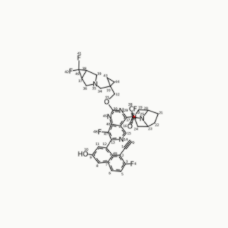 C#Cc1c(F)ccc2cc(O)cc(-c3ncc4c(N5CC6CCC(C5)N6C(=O)C(F)(F)F)nc(OCC5(CN6CC7C(C6)C7(F)F)CC5)nc4c3F)c12